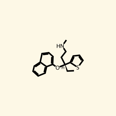 CC[C@](CCNC)(Oc1cccc2ccccc12)c1cccs1